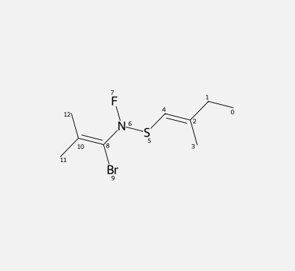 CC/C(C)=C/SN(F)C(Br)=C(C)C